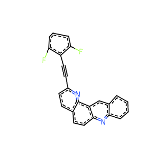 Fc1cccc(F)c1C#Cc1ccc2ccc3nc4ccccc4cc3c2n1